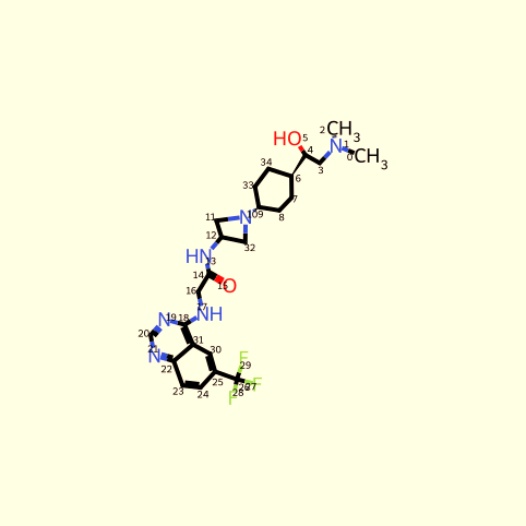 CN(C)CC(O)[C@H]1CC[C@H](N2CC(NC(=O)CNc3ncnc4ccc(C(F)(F)F)cc34)C2)CC1